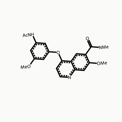 CNC(=O)c1cc2c(Oc3cc(NC(C)=O)cc(OC)c3)ccnc2cc1OC